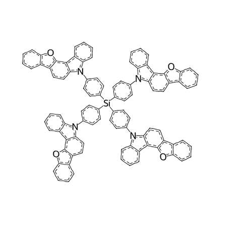 c1ccc2c(c1)oc1c2ccc2c1c1ccccc1n2-c1ccc([Si](c2ccc(-n3c4ccccc4c4c5oc6ccccc6c5ccc43)cc2)(c2ccc(-n3c4ccccc4c4c5oc6ccccc6c5ccc43)cc2)c2ccc(-n3c4ccccc4c4c5oc6ccccc6c5ccc43)cc2)cc1